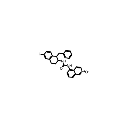 O=C(Nc1cccc2c[n+]([O-])ccc12)NC1CCc2cc(F)ccc2C1Cc1ccccc1